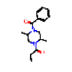 CCC(=O)N1CC(C)N(C(=O)c2ccccc2)CC1C